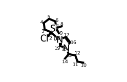 CC1(Cl)CCCC[Si]1(C)C.CCCC(C)n1ccnc1